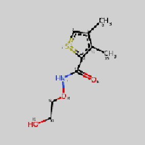 Cc1csc(C(=O)NOCCO)c1C